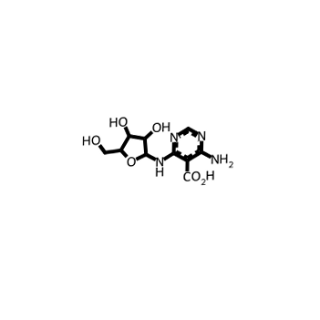 Nc1ncnc(NC2OC(CO)C(O)C2O)c1C(=O)O